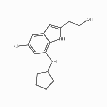 OCCc1cc2cc(Cl)cc(NC3CCCC3)c2[nH]1